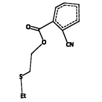 CCSCCOC(=O)c1ccccc1C#N